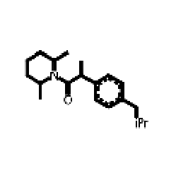 CC(C)Cc1ccc(C(C)C(=O)N2C(C)CCCC2C)cc1